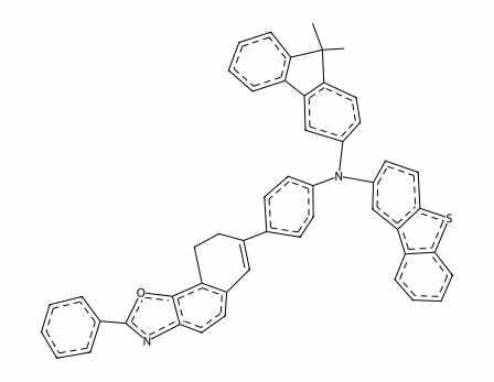 CC1(C)c2ccccc2-c2cc(N(c3ccc(C4=Cc5ccc6nc(-c7ccccc7)oc6c5CC4)cc3)c3ccc4sc5ccccc5c4c3)ccc21